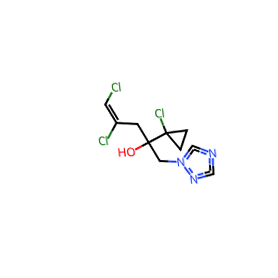 OC(C/C(Cl)=C\Cl)(Cn1cncn1)C1(Cl)CC1